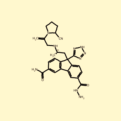 C=C(CN[C@H](C)CC1(c2nn[nH]n2)c2ccc(C(N)=O)cc2-c2cc(C(=O)NN)ccc21)N1CCCC1C#N